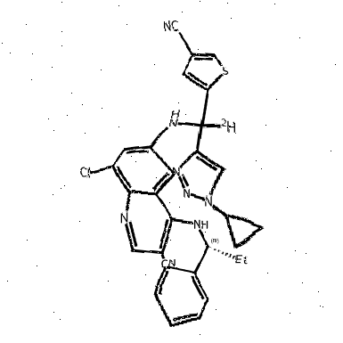 [2H]C(Nc1cc(Cl)c2ncc(C#N)c(N[C@H](CC)c3ccccc3)c2c1)(c1cn(C2CC2)nn1)c1cc(C#N)cs1